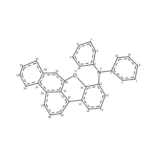 c1ccc(N(c2ccccc2)c2cccc3c2Oc2cc4ccccc4c4cccc-3c24)cc1